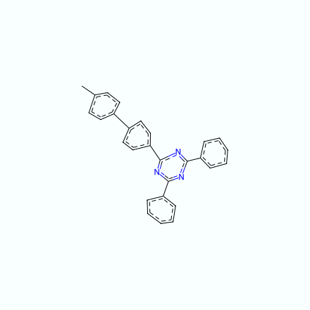 Cc1ccc(-c2ccc(-c3nc(-c4ccccc4)nc(-c4ccccc4)n3)cc2)cc1